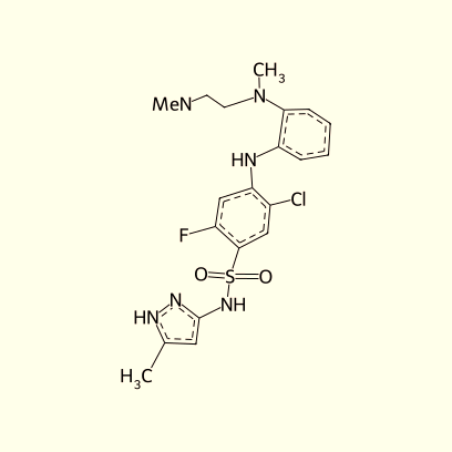 CNCCN(C)c1ccccc1Nc1cc(F)c(S(=O)(=O)Nc2cc(C)[nH]n2)cc1Cl